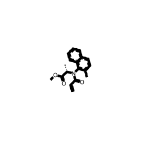 C=CC(=O)N(c1c(C)ccc2ccccc12)[C@@H](C)C(=O)OC